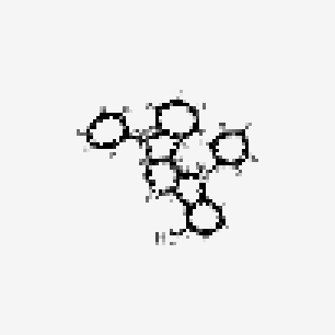 Oc1cccc2c1c1ncc3c(c4ccccc4n3-c3ccccc3)c1n2-c1ccccc1